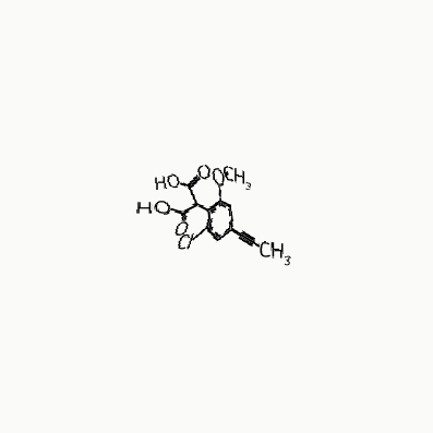 CC#Cc1cc(Cl)c(C(C(=O)O)C(=O)O)c(OC)c1